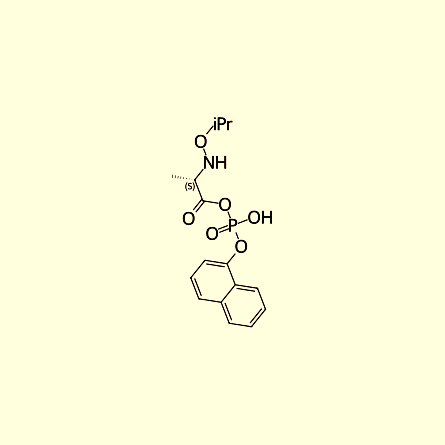 CC(C)ON[C@@H](C)C(=O)OP(=O)(O)Oc1cccc2ccccc12